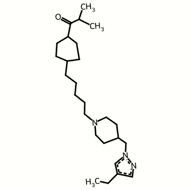 CCc1cnn(CC2CCN(CCCCCC3CCC(C(=O)C(C)C)CC3)CC2)c1